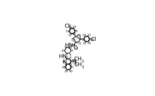 CN(C)c1cc(N[C@H]2CC[C@@H](NC(=O)C(CC(=O)c3ccc(Cl)cc3)SCc3ccc(Cl)cc3)CC2)nc2ccccc12